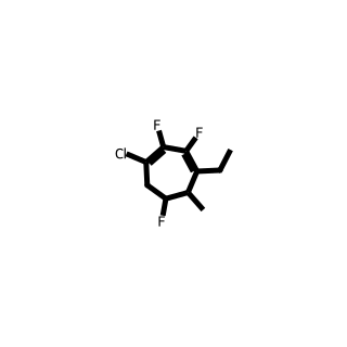 CCC1=C(F)C(F)=C(Cl)CC(F)C1C